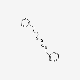 c1ccc(CSSSSSSCc2ccccc2)cc1